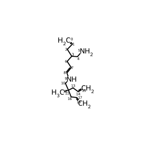 C=CCC(CN)C/C=C/NCC(C)(CC=C)CC=C